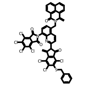 C=C1c2c(Cl)c(Cl)c(SCc3ccccc3)c(Cl)c2C(=O)C1c1ccc2c(Cn3c(=C)c4cccc5cccc(c3=O)c54)ccc(N3C(=O)c4c(Cl)c(Cl)c(Cl)c(Cl)c4C3=O)c2n1